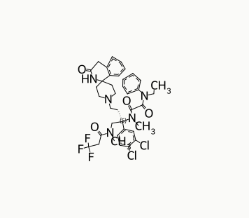 CCN(C(=O)C(=O)N(C)[C@](CCN1CCC2(CC1)NC(=O)Cc1ccccc12)(CN(C)C(=O)CC(F)(F)F)c1ccc(Cl)c(Cl)c1)c1ccccc1